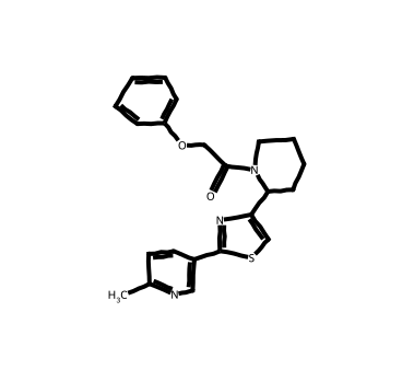 Cc1ccc(-c2nc(C3CCCCN3C(=O)COc3ccccc3)cs2)cn1